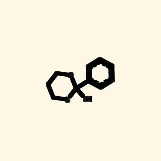 OC1(c2ccccc2)OCCCO1